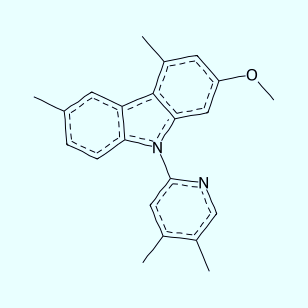 COc1cc(C)c2c3cc(C)ccc3n(-c3cc(C)c(C)cn3)c2c1